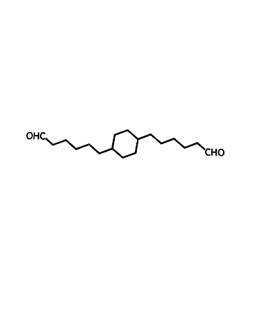 O=CCCCCCC1CCC(CCCCCC=O)CC1